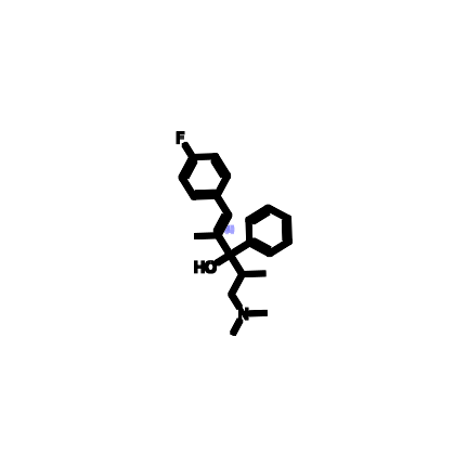 C/C(=C\c1ccc(F)cc1)C(O)(c1ccccc1)C(C)CN(C)C